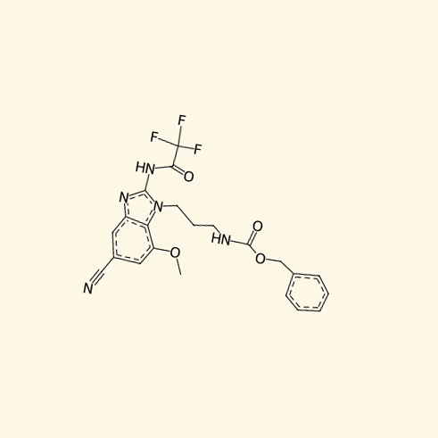 COc1cc(C#N)cc2nc(NC(=O)C(F)(F)F)n(CCCNC(=O)OCc3ccccc3)c12